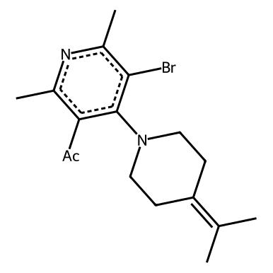 CC(=O)c1c(C)nc(C)c(Br)c1N1CCC(=C(C)C)CC1